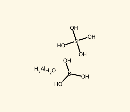 O.OB(O)O.O[Si](O)(O)O.[AlH3]